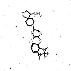 CN1c2cccc(Sc3ncc(N4CCC5(CC4)COCC5N)nc3N)c2N(C)C1(F)F